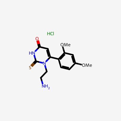 COc1ccc(-c2cc(=O)[nH]c(=S)n2CCN)c(OC)c1.Cl